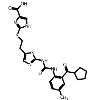 Cc1ccc(NC(=O)Nc2ncc(CCSc3nc(C(=O)O)c[nH]3)s2)c(C(=O)C2CCCC2)c1